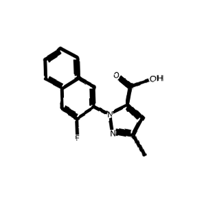 Cc1cc(C(=O)O)n(-c2cc3ccccc3cc2F)n1